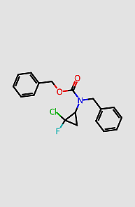 O=C(OCc1ccccc1)N(Cc1ccccc1)C1CC1(F)Cl